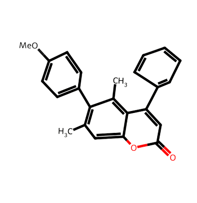 COc1ccc(-c2c(C)cc3oc(=O)cc(-c4ccccc4)c3c2C)cc1